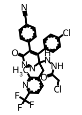 Cc1nc(C(F)(F)F)ccc1CC1(NNC(=O)CCl)N=NC(=O)C(c2ccc(C#N)cc2)=C1c1ccc(Cl)cc1